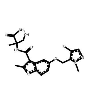 Cc1oc2ccc(OCc3c(F)cnn3C)cc2c1C(=O)NC(C)(CO)C(N)=O